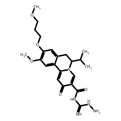 COCCCOc1cc2c(cc1OC)-c1cc(=O)c(C(=O)NC(=N)NN)cn1C(C(C)C)C2